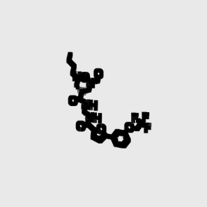 CCCCCC[C@H](CN(O)C=O)C(=O)NCNC(=O)c1ccc(-c2cccc(OCC(F)(F)F)c2)o1